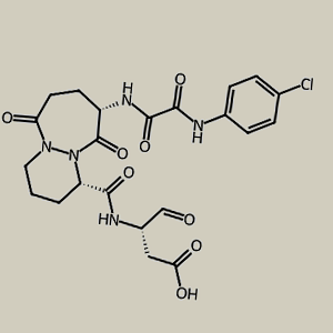 O=C[C@H](CC(=O)O)NC(=O)[C@@H]1CCCN2C(=O)CC[C@H](NC(=O)C(=O)Nc3ccc(Cl)cc3)C(=O)N12